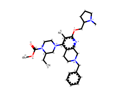 CN1CCCC1COc1nc2c(c(N3CCN(C(=O)OC(C)(C)C)C(CC#N)C3)c1C#N)CCN(Cc1ccccc1)C2